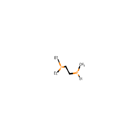 CCP(C)CCP(CC)CC